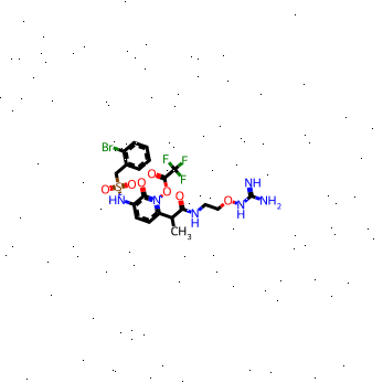 CC(C(=O)NCCONC(=N)N)c1ccc(NS(=O)(=O)Cc2ccccc2Br)c(=O)n1OC(=O)C(F)(F)F